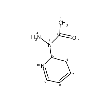 CC(=O)N(N)C1CC=CC=N1